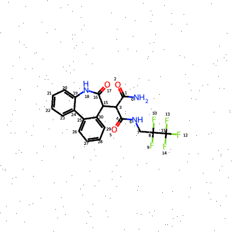 NC(=O)C(C(=O)NCC(F)(F)C(F)(F)F)C1C(=O)Nc2ccccc2-c2ccccc21